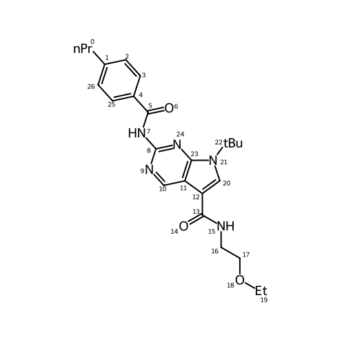 CCCc1ccc(C(=O)Nc2ncc3c(C(=O)NCCOCC)cn(C(C)(C)C)c3n2)cc1